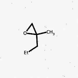 [CH2]CCC1(C)CO1